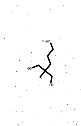 CCCCCCCCC(C)(CO)CO